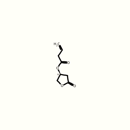 C=CCC(=O)O[C@@H]1COC(=O)C1